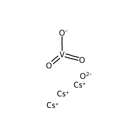 [Cs+].[Cs+].[Cs+].[O-2].[O]=[V](=[O])[O-]